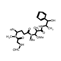 CCCCN(C(=O)CCC(CCC)N(C)C(=O)CNC=O)C(OC)C(C)C(=O)NC(C)C(O)c1ccccc1